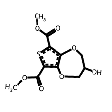 COC(=O)c1sc(C(=O)OC)c2c1OCC(O)CO2